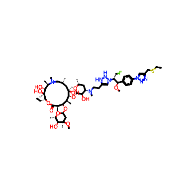 CCSCc1cn(-c2ccc([C@@H](OC)[C@@H](CF)N3C=C(CCN(C)[C@H]4C[C@@H](C)O[C@@H](O[C@@H]5[C@@H](C)[C@H](O[C@H]6C[C@@](C)(OC)[C@@H](O)[C@H](C)O6)[C@@H](C)C(=O)O[C@H](CC)[C@@](C)(O)[C@H](O)[C@@H](C)N(C)C[C@H](C)C[C@@]5(C)O)[C@@H]4O)NN3)cc2)nn1